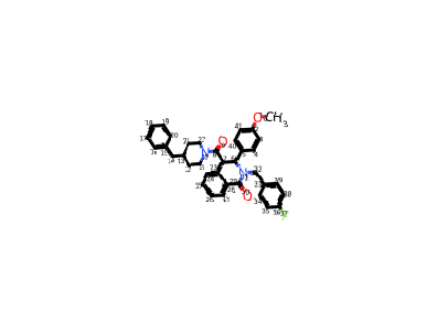 COc1ccc(C2C(C(=O)N3CCC(Cc4ccccc4)CC3)c3ccccc3C(=O)N2Cc2ccc(F)cc2)cc1